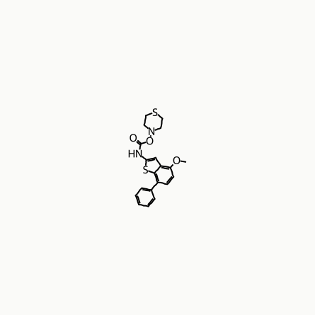 COc1ccc(-c2ccccc2)c2sc(NC(=O)ON3CCSCC3)cc12